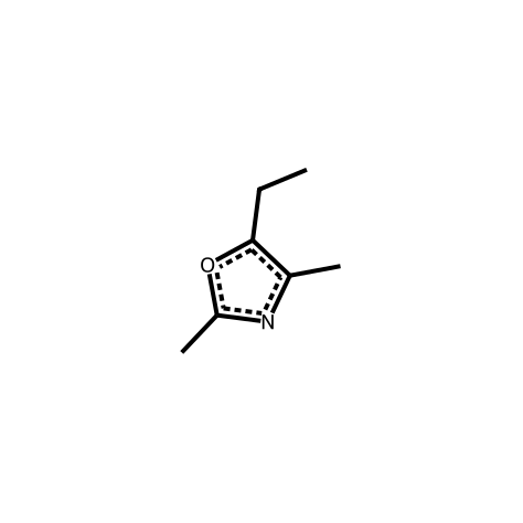 CCc1oc(C)nc1C